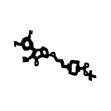 CC(C)(C)OC(=O)N1CCN(CCCOc2ccc3c(c2)C(=O)C(Br)=C3c2cc(F)cc(F)c2)CC1